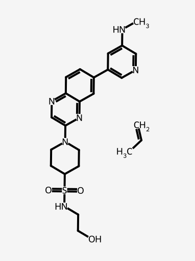 C=CC.CNc1cncc(-c2ccc3ncc(N4CCC(S(=O)(=O)NCCO)CC4)nc3c2)c1